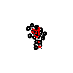 c1ccc([Si](c2ccccc2)(c2ccccc2)c2cc(-n3c4ccccc4c4ccccc43)cc(-n3c4ccccc4c4cc(-c5ccc6c(c5)Cc5ccccc5[Si]65c6ccccc6Cc6cc(-c7cccc([Si](c8ccccc8)(c8ccccc8)c8cccc([Si](c9ccccc9)(c9ccccc9)c9ccccc9)c8)c7)ccc65)ccc43)c2)cc1